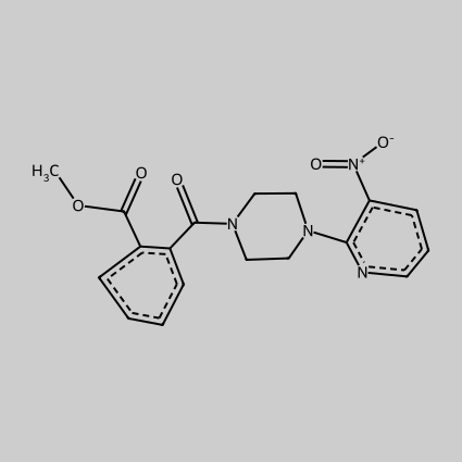 COC(=O)c1ccccc1C(=O)N1CCN(c2ncccc2[N+](=O)[O-])CC1